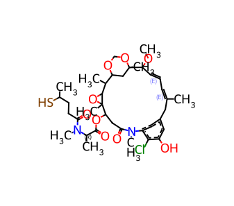 COC1/C=C/C=C(\C)Cc2cc(O)c(Cl)c(c2)N(C)C(=O)CC(OC(=O)[C@@H](C)N(C)C(=O)CCC(C)S)C2(C)OC2C(C)C2CC1(C)OCO2